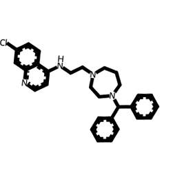 Clc1ccc2c(NCCN3CCCN(C(c4ccccc4)c4ccccc4)CC3)ccnc2c1